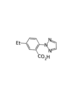 CCc1ccc(-n2nccn2)c(C(=O)O)c1